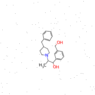 CC(C(O)c1cccc(CO)c1)N1CCC(Cc2ccccc2)CC1